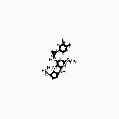 CCCSc1nc(NC2CCC(OCC)C2)c(N)c(NC2C[C@H]2c2ccc(F)c(F)c2)n1